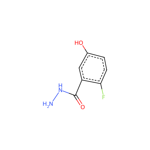 NNC(=O)c1cc(O)ccc1F